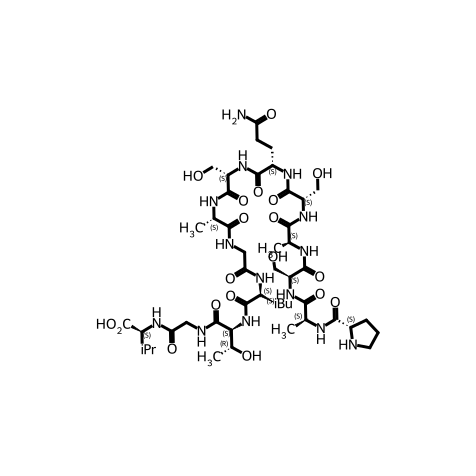 CC[C@H](C)[C@H](NC(=O)CNC(=O)[C@H](C)NC(=O)[C@H](CO)NC(=O)[C@H](CCC(N)=O)NC(=O)[C@H](CO)NC(=O)[C@H](C)NC(=O)[C@H](CO)NC(=O)[C@H](C)NC(=O)[C@@H]1CCCN1)C(=O)N[C@H](C(=O)NCC(=O)N[C@H](C(=O)O)C(C)C)[C@@H](C)O